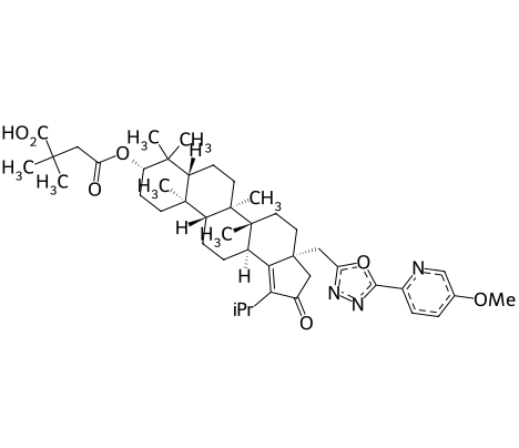 COc1ccc(-c2nnc(C[C@@]34CC[C@]5(C)[C@H](CC[C@@H]6[C@@]7(C)CC[C@H](OC(=O)CC(C)(C)C(=O)O)C(C)(C)[C@@H]7CC[C@]65C)C3=C(C(C)C)C(=O)C4)o2)nc1